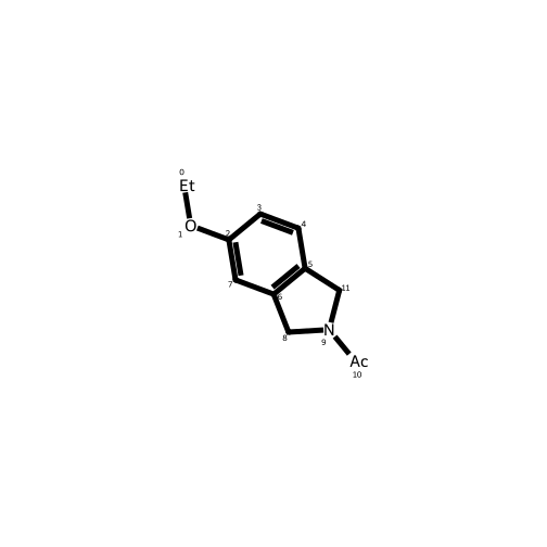 CCOc1ccc2c(c1)CN(C(C)=O)C2